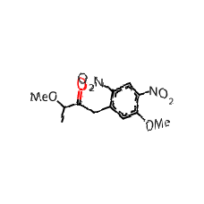 COc1cc(CC(=O)C(C)OC)c([N+](=O)[O-])cc1[N+](=O)[O-]